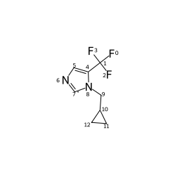 FC(F)(F)c1cn[c]n1CC1CC1